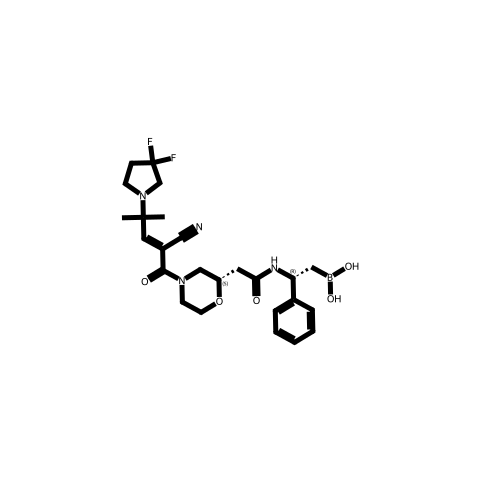 CC(C)(C=C(C#N)C(=O)N1CCO[C@@H](CC(=O)N[C@H](CB(O)O)c2ccccc2)C1)N1CCC(F)(F)C1